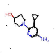 Nc1cnc(N2CCC(O)CC2)c(C2CC2)c1